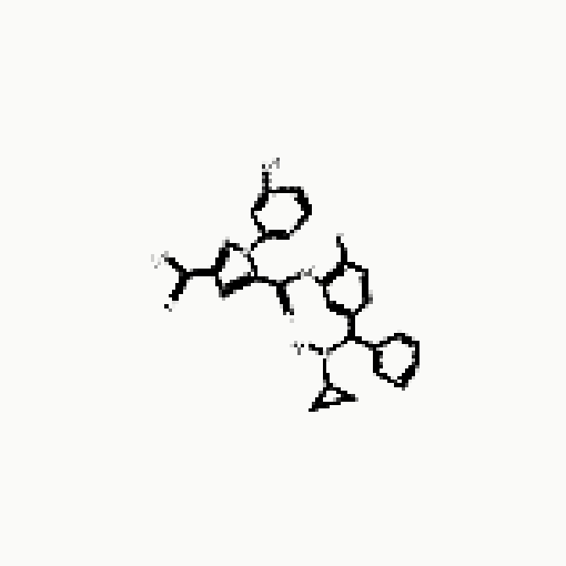 CN(C1CC1)C(c1ccccc1)c1ccc(F)c(NC(=O)c2cc(C(N)=O)nn2-c2cccc(C#N)c2)c1